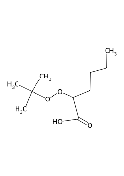 CCCCC(OOC(C)(C)C)C(=O)O